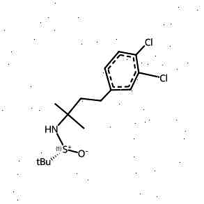 CC(C)(CCc1ccc(Cl)c(Cl)c1)N[S@+]([O-])C(C)(C)C